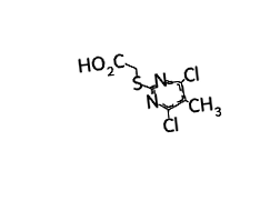 Cc1c(Cl)nc(SCC(=O)O)nc1Cl